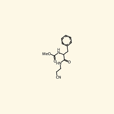 COC(=O)NC(Cc1ccccc1)C(=O)NCCC#N